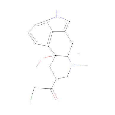 COC12CC(C(=O)CBr)CN(C)[C@@H]1Cc1c[nH]c3cccc2c13